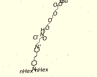 CCCCCCN(CCCCCC)c1ccc(/C=C/c2cc[n+](CCCC(=O)NCCOCCOCCOCCC(=O)OC(C)(C)C)cc2)cc1.[Cl-]